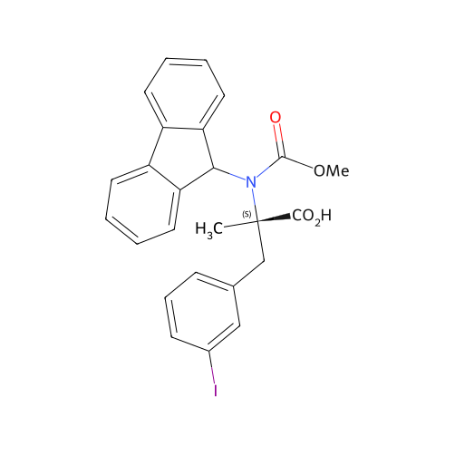 COC(=O)N(C1c2ccccc2-c2ccccc21)[C@@](C)(Cc1cccc(I)c1)C(=O)O